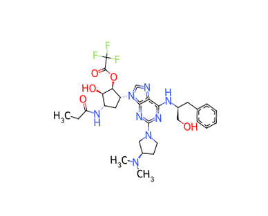 CCC(=O)N[C@H]1C[C@@H](n2cnc3c(N[C@H](CO)Cc4ccccc4)nc(N4CC[C@@H](N(C)C)C4)nc32)[C@H](OC(=O)C(F)(F)F)[C@@H]1O